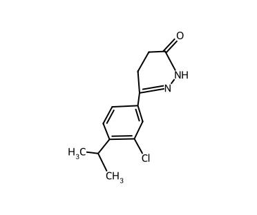 CC(C)c1ccc(C2=NNC(=O)CC2)cc1Cl